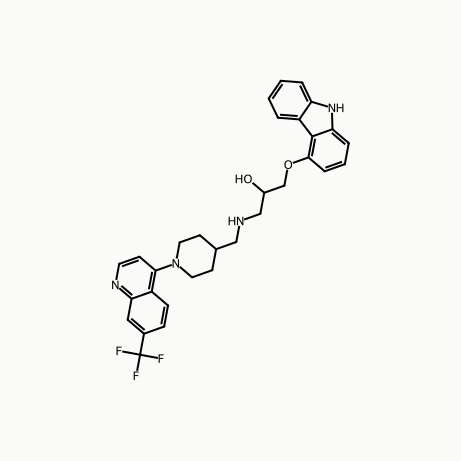 OC(CNCC1CCN(c2ccnc3cc(C(F)(F)F)ccc23)CC1)COc1cccc2[nH]c3ccccc3c12